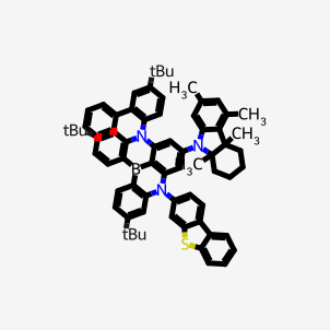 Cc1cc(C)c2c(c1)N(c1cc3c4c(c1)N(c1ccc(C(C)(C)C)cc1-c1ccccc1)c1cc(C(C)(C)C)ccc1B4c1ccc(C(C)(C)C)cc1N3c1ccc3c(c1)sc1ccccc13)C1(C)CCCCC21C